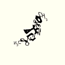 COC(=O)N1CCN(c2ncnc3c2c(C2CC2)cn3S(=O)(=O)c2ccc(C)cc2)CC1